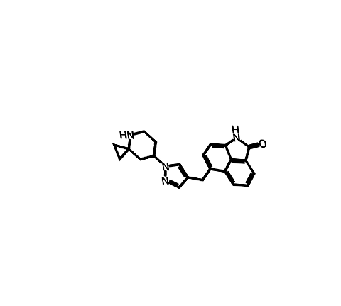 O=C1Nc2ccc(Cc3cnn(C4CCNC5(CC5)C4)c3)c3cccc1c23